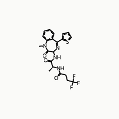 C[C@H](NC(=O)CCC(F)(F)F)C(=O)NC1N=C(c2cccs2)c2ccccc2N(C)C1=O